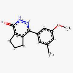 COc1cc(C)cc(-c2n[nH]c(=O)c3c2CCC3)c1